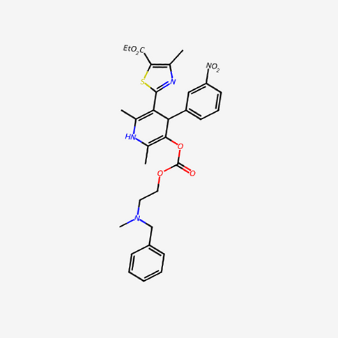 CCOC(=O)c1sc(C2=C(C)NC(C)=C(OC(=O)OCCN(C)Cc3ccccc3)C2c2cccc([N+](=O)[O-])c2)nc1C